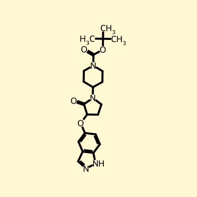 CC(C)(C)OC(=O)N1CCC(N2CCC(Oc3ccc4[nH]ncc4c3)C2=O)CC1